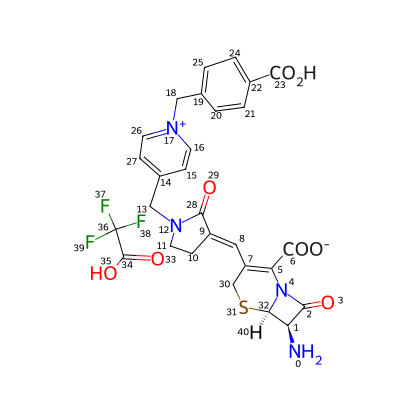 N[C@@H]1C(=O)N2C(C(=O)[O-])=C(/C=C3\CCN(Cc4cc[n+](Cc5ccc(C(=O)O)cc5)cc4)C3=O)CS[C@H]12.O=C(O)C(F)(F)F